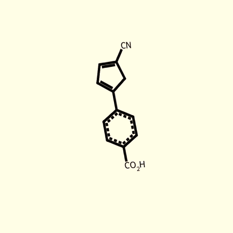 N#CC1=CC=C(c2ccc(C(=O)O)cc2)C1